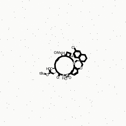 CO[C@@H]1C=CC[C@H](C)[C@@H](CC(=O)OC(C)(C)C)C(=O)NS(=O)(=O)c2ccc3c(c2)N(C[C@@H]2CC[C@H]21)C[C@@]1(CCCc2cc(Cl)ccc21)CO3